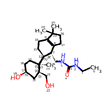 CCNC(=O)NC[C@H]1C2=C(CC[C@@H]1[C@]1(C)CC[C@H](O)C[C@@H]1CO)C(C)(C)CC2